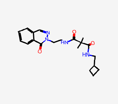 CC(C)(C(=O)NCCn1ncc2ccccc2c1=O)C(=O)NCC1CCC1